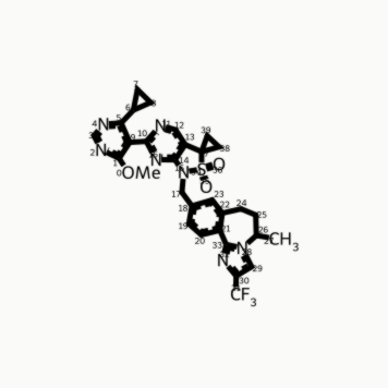 COc1ncnc(C2CC2)c1-c1ncc2c(n1)N(Cc1ccc3c(c1)CCC(C)n1cc(C(F)(F)F)nc1-3)S(=O)(=O)C21CC1